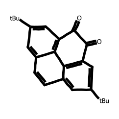 CC(C)(C)c1cc2ccc3cc(C(C)(C)C)cc4c(=O)c(=O)c(c1)c2c34